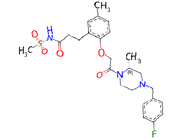 Cc1ccc(OCC(=O)N2CCN(Cc3ccc(F)cc3)C[C@H]2C)c(CCC(=O)NS(C)(=O)=O)c1